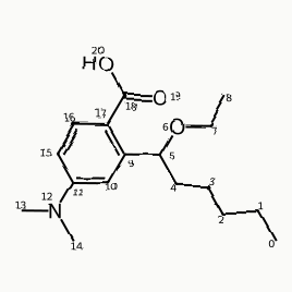 CCCCCC(OCC)c1cc(N(C)C)ccc1C(=O)O